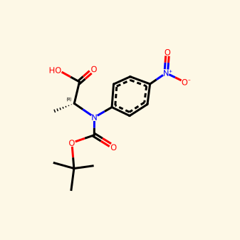 C[C@H](C(=O)O)N(C(=O)OC(C)(C)C)c1ccc([N+](=O)[O-])cc1